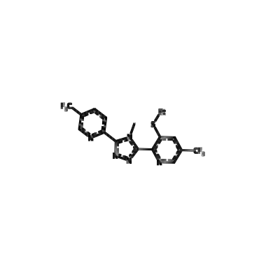 CCSc1cc(C(F)(F)F)cnc1-c1nnc(-c2ccc(C(F)(F)F)cn2)n1C